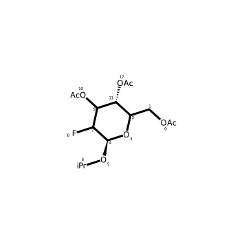 CC(=O)OCC1O[C@@H](OC(C)C)C(F)C(OC(C)=O)[C@@H]1OC(C)=O